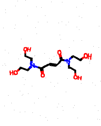 O=C(/C=C/C(=O)N(CCO)CCO)N(CCO)CCO